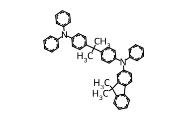 CC(C)(c1ccc(N(c2ccccc2)c2ccccc2)cc1)c1ccc(N(c2ccccc2)c2ccc3c(c2)C(C)(C)c2ccccc2-3)cc1